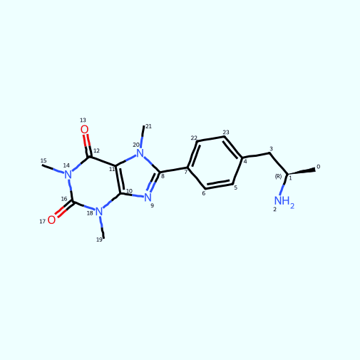 C[C@@H](N)Cc1ccc(-c2nc3c(c(=O)n(C)c(=O)n3C)n2C)cc1